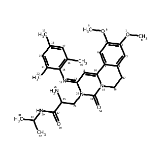 COc1cc2c(cc1OC)-c1cc(=Nc3c(C)cc(C)cc3C)n(CC(N)C(=O)NC(C)C)c(=O)n1CC2